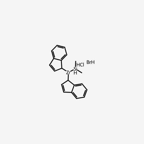 Br.C[SiH](C)[Zr]([CH]1C=Cc2ccccc21)[CH]1C=Cc2ccccc21.Cl